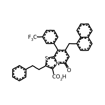 O=C(O)c1c(CCc2ccccc2)sc2c(-c3cccc(C(F)(F)F)c3)c(Cc3cccc4ccccc34)cc(=O)n12